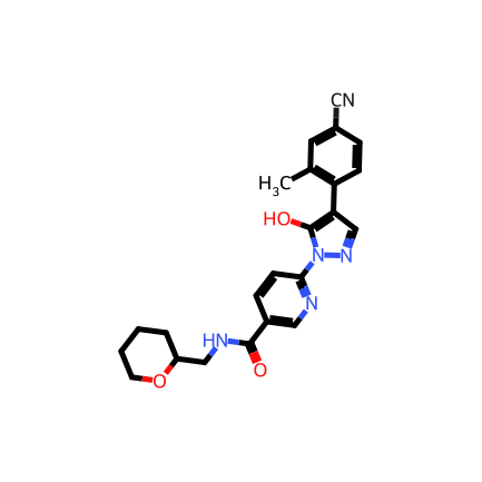 Cc1cc(C#N)ccc1-c1cnn(-c2ccc(C(=O)NCC3CCCCO3)cn2)c1O